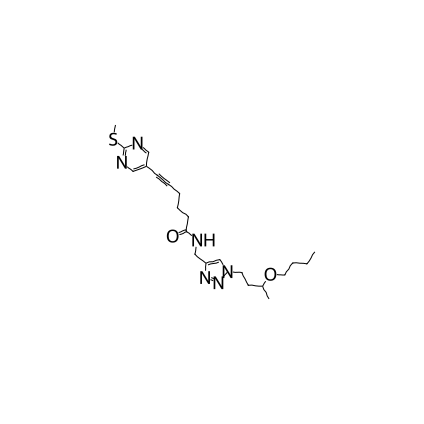 CCCCOC(C)CCn1cc(CNC(=O)CCCC#Cc2cnc(SC)nc2)nn1